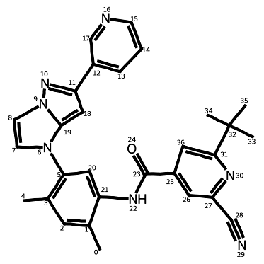 Cc1cc(C)c(-n2ccn3nc(-c4cccnc4)cc23)cc1NC(=O)c1cc(C#N)nc(C(C)(C)C)c1